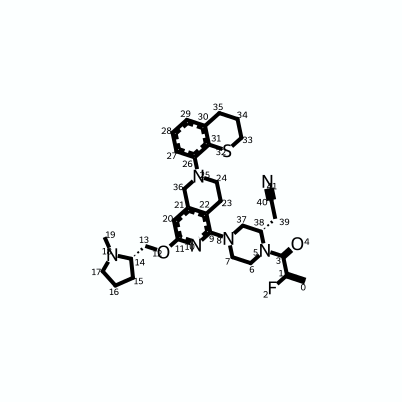 C=C(F)C(=O)N1CCN(c2nc(OC[C@@H]3CCCN3C)cc3c2CCN(c2cccc4c2SCCC4)C3)C[C@@H]1CC#N